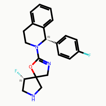 Fc1ccc([C@H]2c3ccccc3CCN2C2=NCC3(CNC[C@@H]3F)O2)cc1